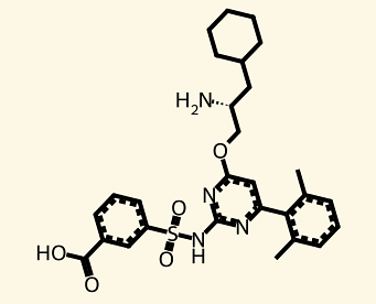 Cc1cccc(C)c1-c1cc(OC[C@H](N)CC2CCCCC2)nc(NS(=O)(=O)c2cccc(C(=O)O)c2)n1